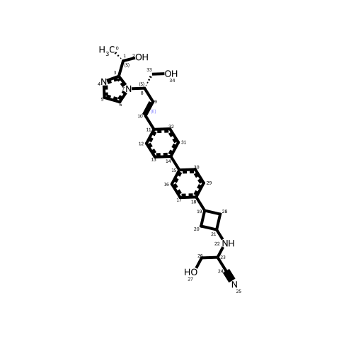 C[C@H](O)c1nccn1[C@@H](/C=C/c1ccc(-c2ccc(C3CC(NC(C#N)CO)C3)cc2)cc1)CO